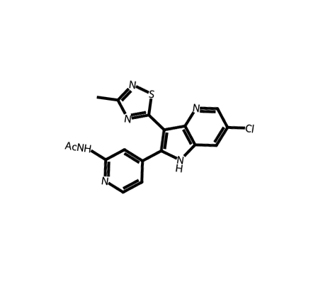 CC(=O)Nc1cc(-c2[nH]c3cc(Cl)cnc3c2-c2nc(C)ns2)ccn1